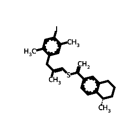 C=C(S/C=C(\C)Cc1cc(C)c(I)cc1C)c1ccc2c(c1)CCC[C@@H]2C